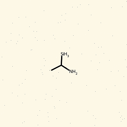 [CH2]C(N)[SiH3]